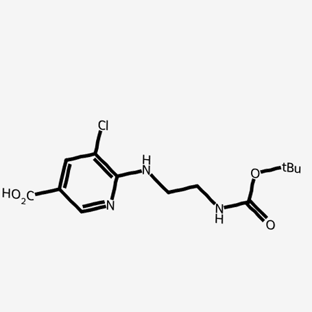 CC(C)(C)OC(=O)NCCNc1ncc(C(=O)O)cc1Cl